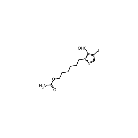 NC(=O)OCCCCCCn1ncc(I)c1C=O